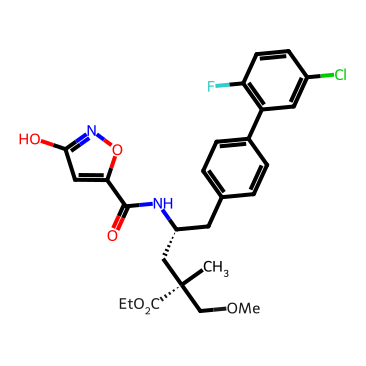 CCOC(=O)[C@](C)(COC)C[C@@H](Cc1ccc(-c2cc(Cl)ccc2F)cc1)NC(=O)c1cc(O)no1